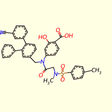 Cc1ccc(S(=O)(=O)N(C)CC(=O)N(Cc2ccc(-c3cccc(C#N)c3)c(-c3ccccc3)c2)c2ccc(C(=O)O)c(O)c2)cc1